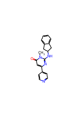 Cn1c(NC2Cc3ccccc3C2)nc(-c2ccncc2)cc1=O